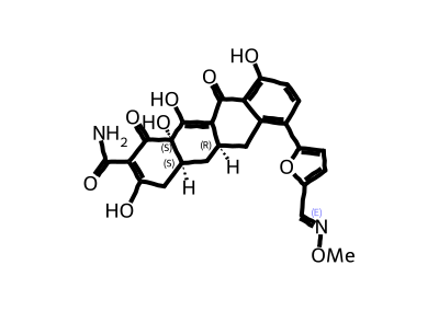 CO/N=C/c1ccc(-c2ccc(O)c3c2C[C@H]2C[C@H]4CC(O)=C(C(N)=O)C(=O)[C@@]4(O)C(O)=C2C3=O)o1